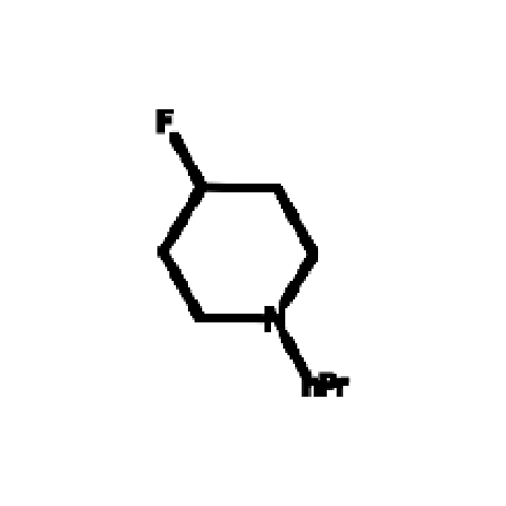 CCCN1CCC(F)CC1